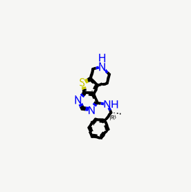 C[C@@H](Nc1ncnc2sc3c(c12)CCNC3)c1ccccc1